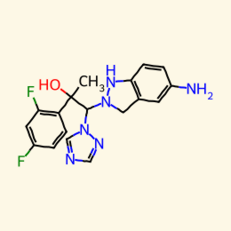 CC(O)(c1ccc(F)cc1F)C(N1Cc2cc(N)ccc2N1)n1cncn1